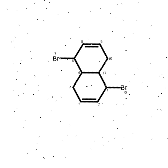 BrC1C=CCC2C(Br)C=CCC12